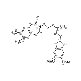 COc1cc2c(cc1OC)CC(CCN(C)CCCN1CCc3cc(C)c(C)cc3CC1=O)C2